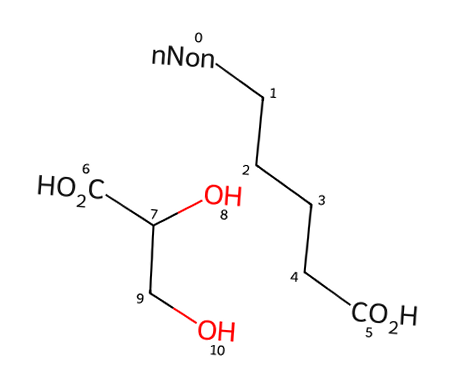 CCCCCCCCCCCCCC(=O)O.O=C(O)C(O)CO